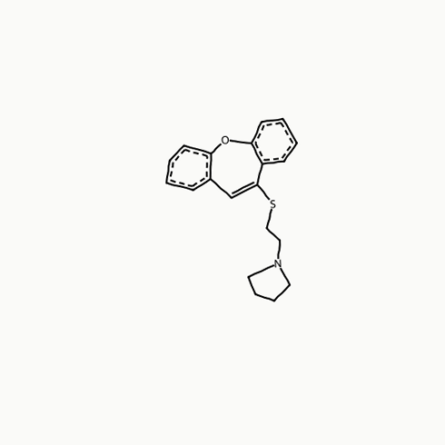 C1=C(SCCN2CCCC2)c2ccccc2Oc2ccccc21